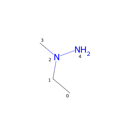 CCN(C)N